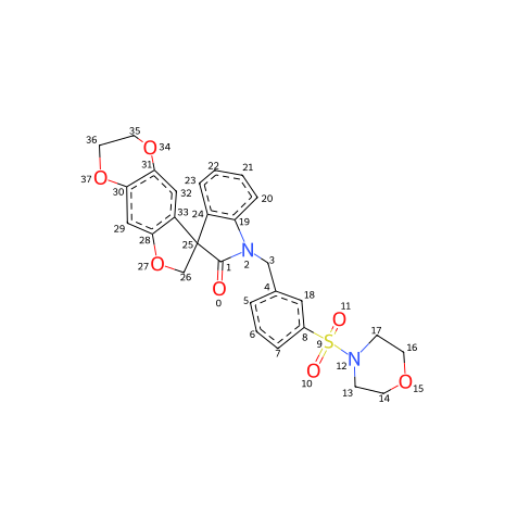 O=C1N(Cc2cccc(S(=O)(=O)N3CCOCC3)c2)c2ccccc2C12COc1cc3c(cc12)OCCO3